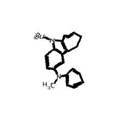 CCC(C)n1c2c(c3cc(N(C)c4ccccc4)ccc31)CCC=C2